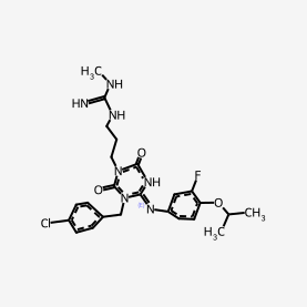 CNC(=N)NCCCn1c(=O)[nH]/c(=N\c2ccc(OC(C)C)c(F)c2)n(Cc2ccc(Cl)cc2)c1=O